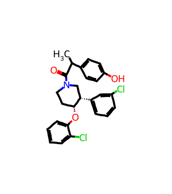 CC(C(=O)N1CC[C@@H](Oc2ccccc2Cl)[C@@H](c2cccc(Cl)c2)C1)c1ccc(O)cc1